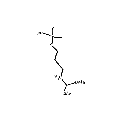 COC(OC)[SiH2]CCCS[Si](C)(C)C(C)(C)C